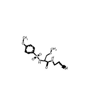 COc1ccc(S(=O)(=O)NC(CSC)C(=O)NCCC#N)cc1